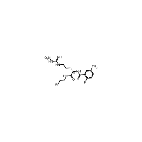 Cc1ccc(F)c(C(=O)N[C@@H](CCCNC(=N)N[N+](=O)[O-])C(=O)N[CH]CC(C)C)c1